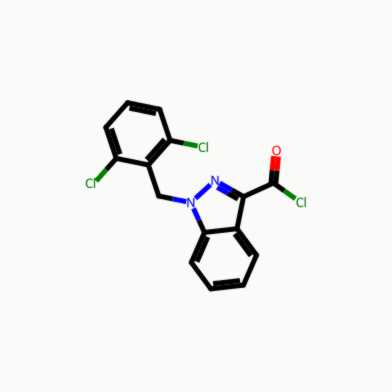 O=C(Cl)c1nn(Cc2c(Cl)cccc2Cl)c2ccccc12